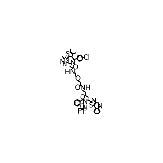 Cc1sc2c(c1C)C(c1ccc(Cl)cc1)=N[C@@H](CC(=O)NCCOCCC(=O)NCCCC[C@H](NC(=O)c1ccccc1OC(F)F)c1nc3cnc4ccccc4c3s1)c1nnc(C)n1-2